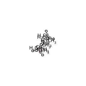 CC1(C)c2cc(-c3cc4c5c(c3)C(C)(C)c3cc(-c6ccccc6)ccc3N5c3ccc(-c5ccccc5)cc3C4(C)C)ccc2-c2ccc(-c3cc4c5c(c3)C(C)(C)c3cc(-c6ccccc6)ccc3N5c3ccc(-c5ccccc5)cc3C4(C)C)cc21